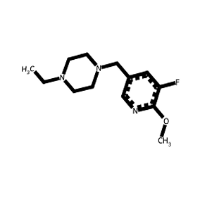 CCN1CCN(Cc2cnc(OC)c(F)c2)CC1